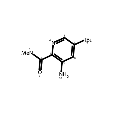 CNC(=O)c1ncc(C(C)(C)C)cc1N